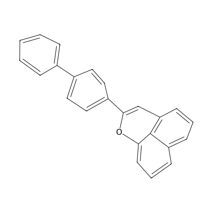 C1=C(c2ccc(-c3ccccc3)cc2)Oc2cccc3cccc1c23